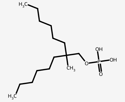 CCCCCCC(C)(CCCCCC)COP(=O)(O)O